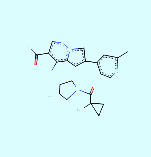 CC[C@H]1CN(C(=O)C2(C#N)CC2)C[C@H]1Nc1c(C(N)=O)cnn2cc(-c3ccnc(C)c3)cc12